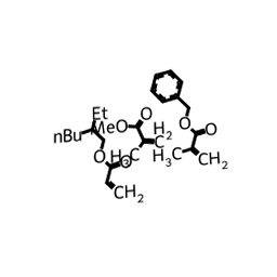 C=C(C)C(=O)OC.C=C(C)C(=O)OCc1ccccc1.C=CC(=O)OCC(CC)CCCC